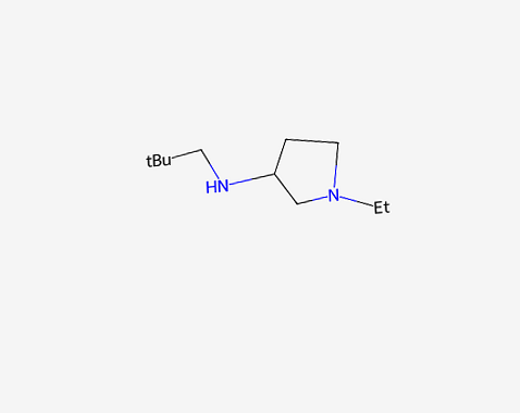 CCN1CCC(NCC(C)(C)C)C1